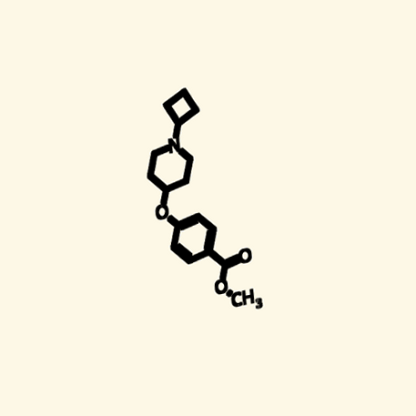 COC(=O)c1ccc(OC2CCN(C3CCC3)CC2)cc1